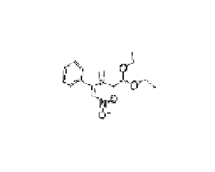 CCOC(CNC(=C[N+](=O)[O-])c1ccccc1)OCC